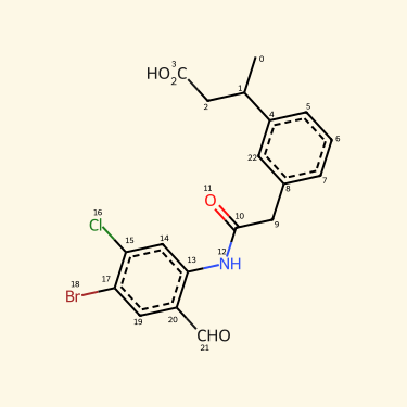 CC(CC(=O)O)c1cccc(CC(=O)Nc2cc(Cl)c(Br)cc2C=O)c1